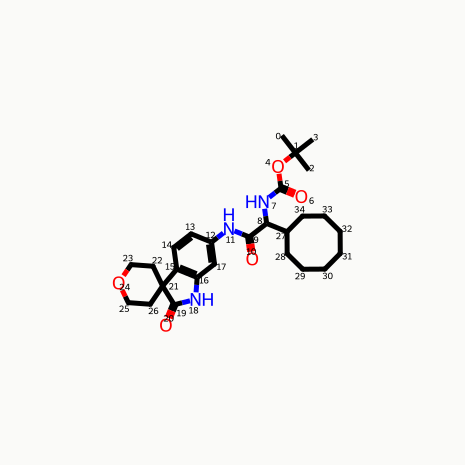 CC(C)(C)OC(=O)NC(C(=O)Nc1ccc2c(c1)NC(=O)C21CCOCC1)C1CCCCCCC1